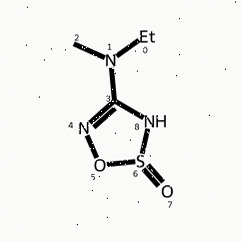 CCN(C)C1=NOS(=O)N1